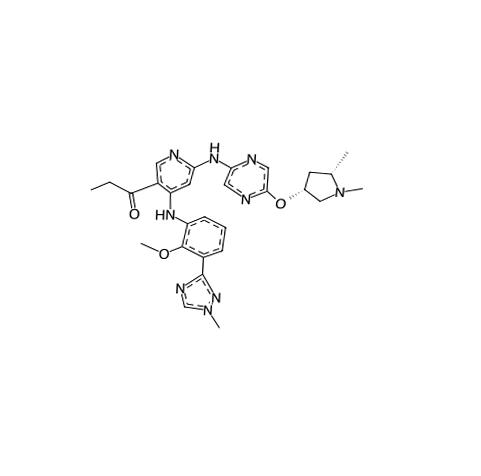 CCC(=O)c1cnc(Nc2cnc(O[C@@H]3C[C@H](C)N(C)C3)cn2)cc1Nc1cccc(-c2ncn(C)n2)c1OC